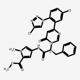 COC(=O)c1cc(NC(=O)[C@H](Cc2ccccc2)n2cnc(-c3cc(Cl)ccc3-n3cc(Cl)nn3)cc2=O)cn1C